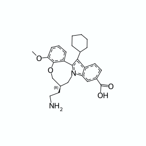 COc1cccc2c1OC[C@H](CCN)Cn1c-2c(C2CCCCC2)c2ccc(C(=O)O)cc21